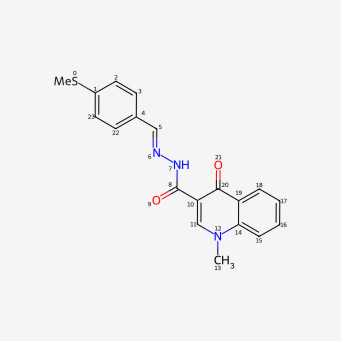 CSc1ccc(C=NNC(=O)c2cn(C)c3ccccc3c2=O)cc1